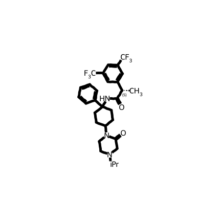 CC(C)N1CCN(C2CCC(NC(=O)[C@@H](C)c3cc(C(F)(F)F)cc(C(F)(F)F)c3)(c3ccccc3)CC2)C(=O)C1